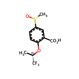 C[C@H](Oc1ccc([S+](C)[O-])cc1C(=O)O)C(F)(F)F